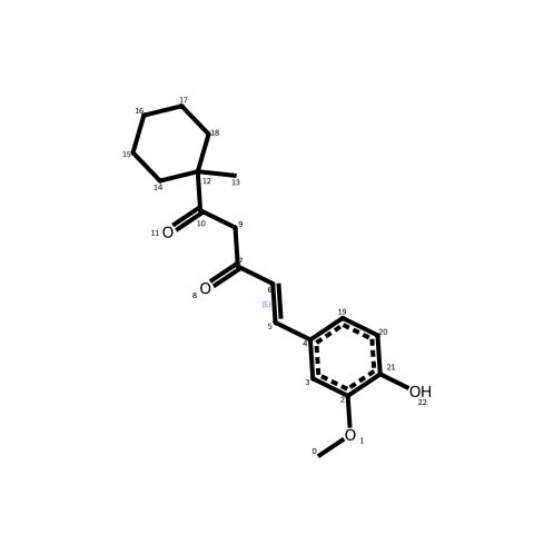 COc1cc(/C=C/C(=O)CC(=O)C2(C)CCCCC2)ccc1O